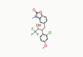 COc1ccc(C(Cc2ccc3oc(=O)n(C)c3c2)C(O)C(F)(F)F)c(Cl)c1